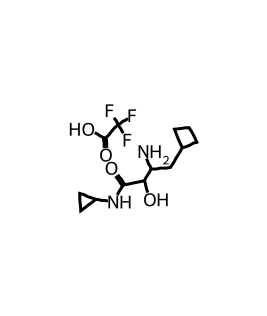 NC(CC1CCC1)C(O)C(=O)NC1CC1.O=C(O)C(F)(F)F